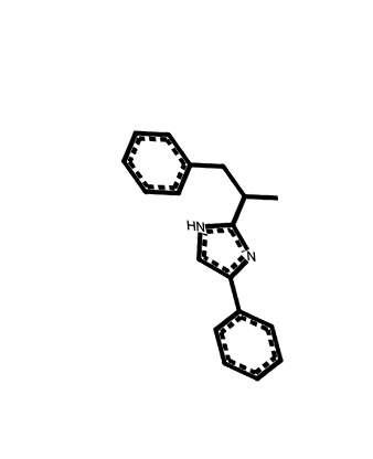 CC(Cc1ccccc1)c1nc(-c2ccccc2)c[nH]1